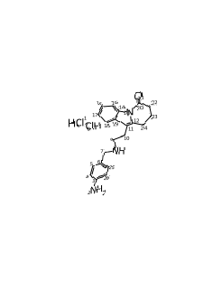 Cl.Cl.Nc1ccc(CNCCc2c3n(c4ccccc24)C(=O)CCC3)cc1